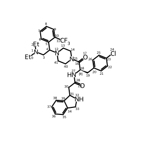 CCN(CC)CC(c1ccccc1C(F)(F)F)N1CCN(C(=O)[C@@H](Cc2ccc(Cl)cc2)NC(=O)CC2NCc3ccccc32)CC1